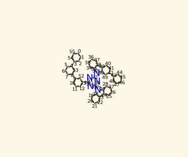 c1ccc(-c2cccc(-c3cccc(-c4nc(-n5c6ccccc6c6ccccc65)nc(-n5c6ccccc6c6ccc(-c7ccccc7)cc65)n4)c3)c2)cc1